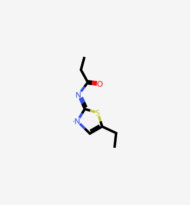 CCC(=O)N=C1[N]C=C(CC)S1